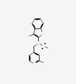 CCS(=O)(=O)N(Cc1ccnc(F)c1)c1sc2ccccc2c1C(C)=O